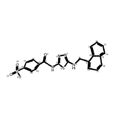 O=C(Nc1nnc(NCc2cccc3ccccc23)s1)c1ccc(S(=O)(=O)F)cc1